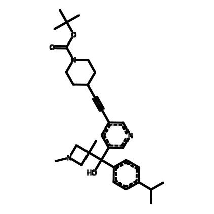 CC(C)c1ccc(C(O)(c2cncc(C#CC3CCN(C(=O)OC(C)(C)C)CC3)c2)C2(C)CN(C)C2)cc1